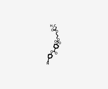 C=CC(=O)OCCCOS(=O)(=O)c1ccc(C(=O)Oc2ccc(C#N)cc2)cc1